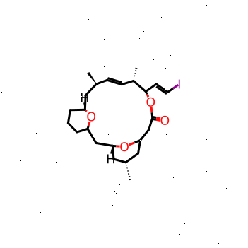 C[C@H]1CC2CC(=O)OC(/C=C/I)[C@@H](C)/C=C/[C@H](C)C[C@H]3CCCC(C[C@@H](C1)O2)O3